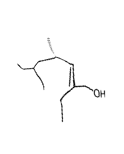 CC/C(O)=C\[C@@H](C)C(C)C